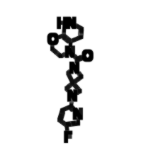 O=C(N1CC2(C1)CN(c1ccc(F)cn1)C2)N1CCOC2=C1C=CNC2